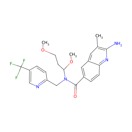 COCCC(OC)N(Cc1ccc(C(F)(F)F)cn1)C(=O)c1ccc2nc(N)c(C)cc2c1